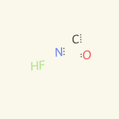 F.[C].[N].[O]